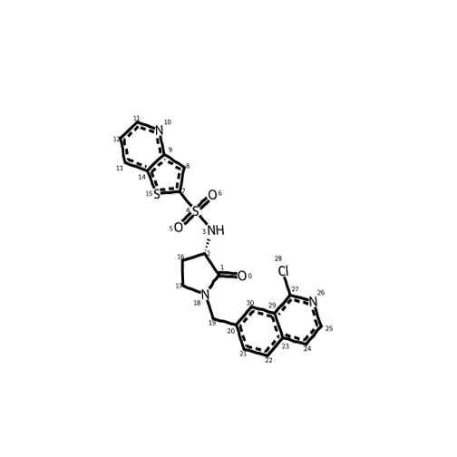 O=C1[C@@H](NS(=O)(=O)c2cc3ncccc3s2)CCN1Cc1ccc2ccnc(Cl)c2c1